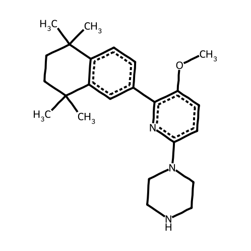 COc1ccc(N2CCNCC2)nc1-c1ccc2c(c1)C(C)(C)CCC2(C)C